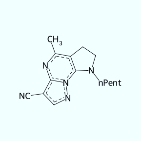 CCCCCN1CCc2c(C)nc3c(C#N)cnn3c21